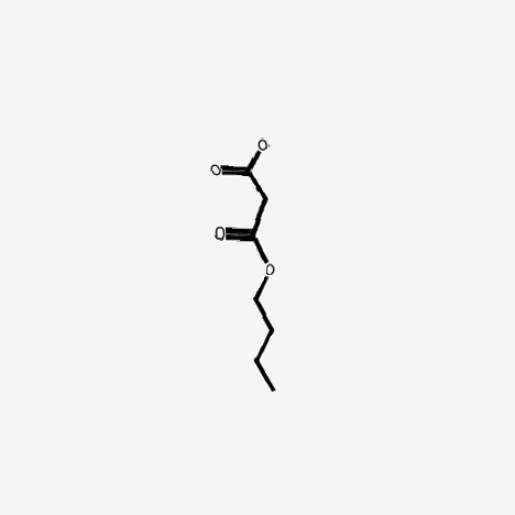 CCCCOC(=O)CC([O])=O